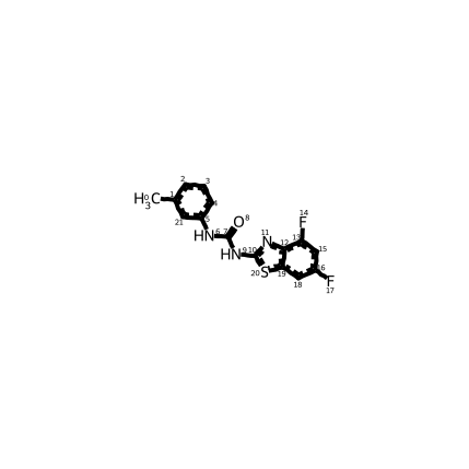 Cc1cccc(NC(=O)Nc2nc3c(F)cc(F)cc3s2)c1